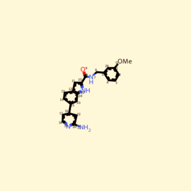 COc1cccc(CNC(=O)c2cc3ccc(-c4ccnc(N)c4)cc3[nH]2)c1